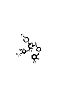 CCN1CCN(c2cc(Nc3cc(C)[nH]n3)nc(N[C@H]3CCN(Cc4cccc(Cl)c4F)C3)n2)CC1